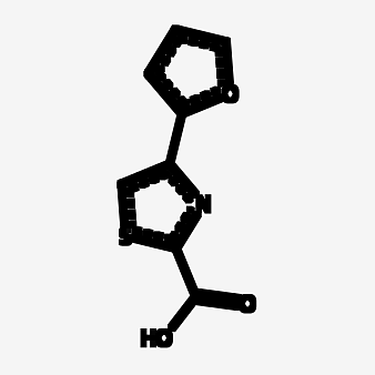 O=C(O)c1nc(-c2ccco2)cs1